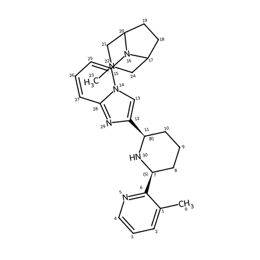 Cc1cccnc1[C@@H]1CCC[C@H](c2cn3c(N4C5CCC4CN(C)C5)cccc3n2)N1